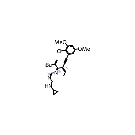 C=C(C(=N\C=N/CNC1CC1)/C(C#Cc1cc(OC)cc(OC)c1Cl)=C\C)C(C)CC